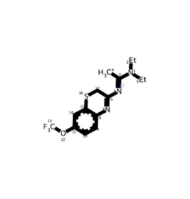 CCN(CC)/C(C)=N/C1=Nc2ccc(OC(F)(F)F)cc2SC1